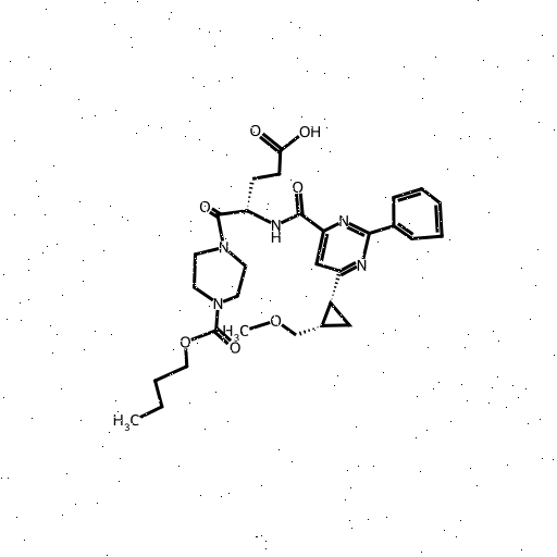 CCCCOC(=O)N1CCN(C(=O)[C@H](CCC(=O)O)NC(=O)c2cc([C@@H]3C[C@@H]3COC)nc(-c3ccccc3)n2)CC1